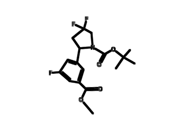 COC(=O)c1cc(F)cc(C2CC(F)(F)CN2C(=O)OC(C)(C)C)c1